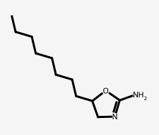 CCCCCCCCC1CN=C(N)O1